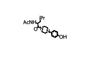 CC(=O)NC(CC(C)C)C(=O)N1CCN(c2ccc(O)cc2)CC1